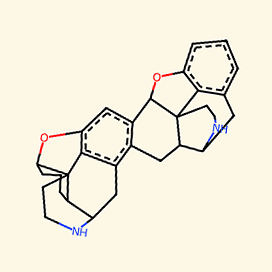 c1cc2c3c(c1)OC1c4cc5c6c(c4CC4C(C2)NCCC314)CC1NCCC62C(CCCC12)O5